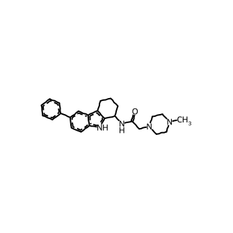 CN1CCN(CC(=O)NC2CCCc3c2[nH]c2ccc(-c4ccccc4)cc32)CC1